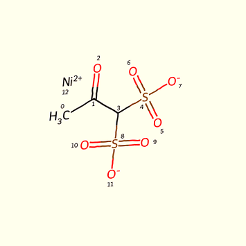 CC(=O)C(S(=O)(=O)[O-])S(=O)(=O)[O-].[Ni+2]